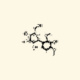 COc1ccc(C2O[C@H](CO)[C@@H](O)[C@H](O)[C@H]2O)c(OC)c1O